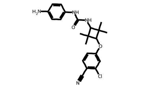 CC1(C)C(NC(=O)Nc2ccc(N)cc2)C(C)(C)C1Oc1ccc(C#N)c(Cl)c1